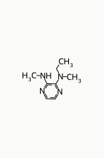 CCN(C)c1nccnc1NC